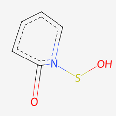 O=c1ccccn1SO